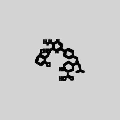 CC(C)CN(Cc1ccc(-c2cnc(N)c(NCc3c(Cl)cccc3Cl)n2)cc1)C1CCN[C@@H](C(=O)O)C1